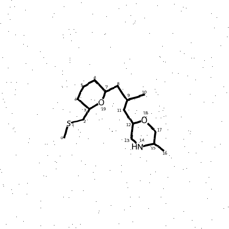 CSCC1CCCC(CC(C)CC2CNC(C)CO2)O1